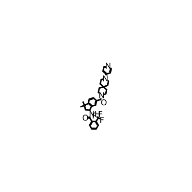 CC1(C)CC(NC(=O)c2ccccc2C(F)(F)F)c2cc(C(=O)N3CCC4(CC3)CCN(c3ccncc3)CC4)ccc21